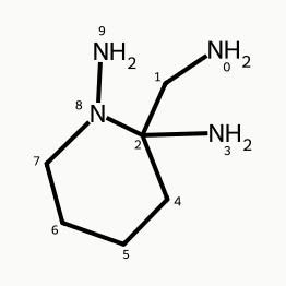 NCC1(N)CCCCN1N